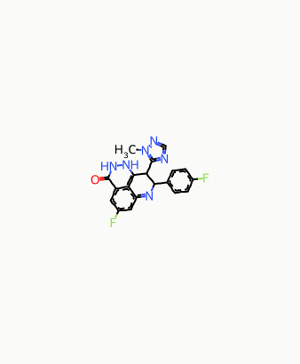 Cn1ncnc1C1C2=c3c(cc(F)cc3=NC1c1ccc(F)cc1)C(=O)NN2